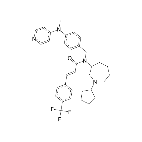 CN(c1ccncc1)c1ccc(CN(C(=O)/C=C/c2ccc(C(F)(F)F)cc2)C2CCCCN(C3CCCC3)C2)cc1